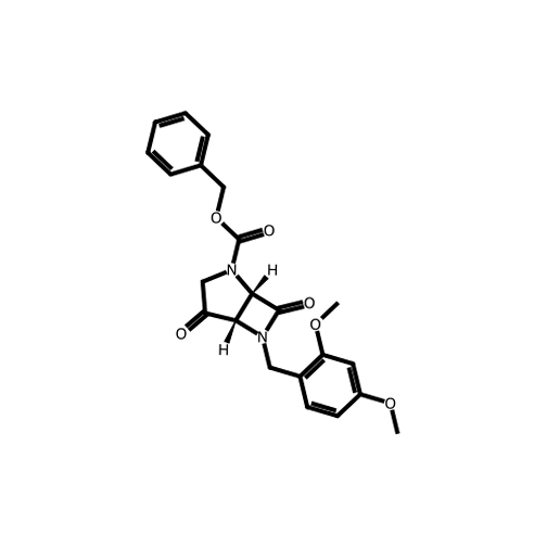 COc1ccc(CN2C(=O)[C@@H]3[C@H]2C(=O)CN3C(=O)OCc2ccccc2)c(OC)c1